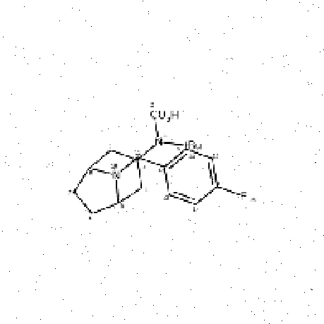 CC(C)(C)N(C(=O)O)C1CC2CCC(C1)N2Cc1ccc(F)cc1